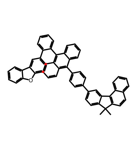 CC1(C)c2ccc(-c3ccc(-c4c5ccccc5c(-c5ccccc5-c5ccc6oc7ccccc7c6c5)c5ccccc45)cc3)cc2-c2c1ccc1ccccc21